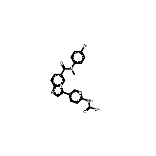 CN(C(=O)c1ccc2ncc(-c3ccc(NC(=O)O)nc3)n2c1)c1ccc(Br)cc1